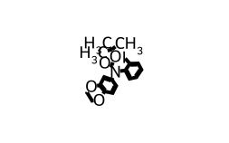 CC(C)(C)OC(=O)N(c1ccc2c(c1)OCCO2)c1ccccc1I